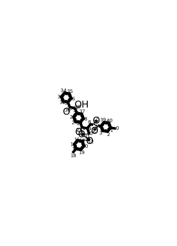 Cc1ccc(S(=O)(=O)CC(CS(=O)(=O)c2ccc(C)cc2)C(=O)c2ccc(C(O)C(=O)c3ccccc3)cc2)cc1